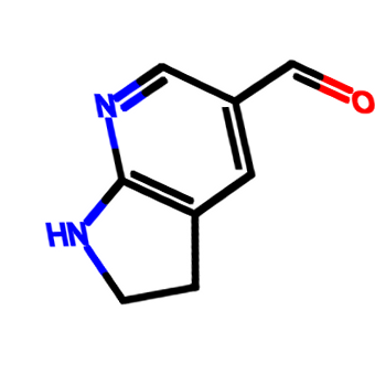 O=Cc1cnc2c(c1)CCN2